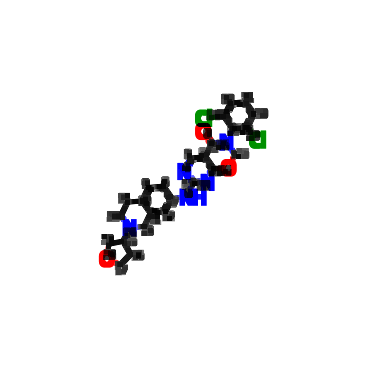 O=C1c2cnc(Nc3ccc4c(c3)CN(C3CCOC3)CC4)nc2OCN1c1c(Cl)cccc1Cl